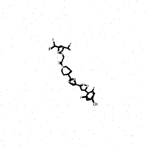 O=C(Cn1nc(C(F)F)cc1C(F)F)N1CCC(c2nc(C3=NOC(c4c(F)cc(O)cc4F)C3)cs2)CC1